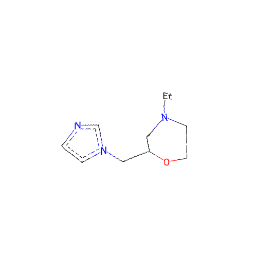 CCN1CCOC(Cn2ccnc2)C1